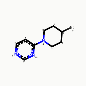 [CH2]CC1CCN(c2ccncn2)CC1